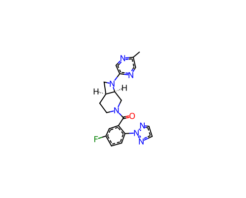 Cc1cnc(N2C[C@@H]3CCN(C(=O)c4cc(F)ccc4-n4nccn4)C[C@@H]32)cn1